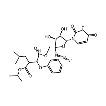 CC(C)CC(C(=O)OC(C)C)N(Oc1ccccc1)[PH](=O)OC[C@@]1(N=[N+]=[N-])O[C@@H](n2ccc(=O)[nH]c2=O)[C@H](O)[C@@H]1O